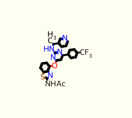 CC(=O)Nc1nc2c(Oc3cc(-c4ccc(C(F)(F)F)cc4)nc(N[C@H](C)c4cccnc4)n3)cccc2s1